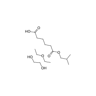 CC(C)COC(=O)CCCCC(=O)O.CCOCC.OCCO